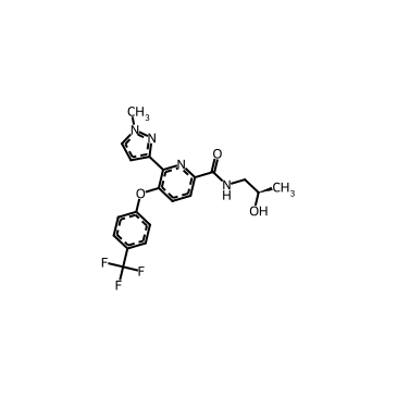 C[C@@H](O)CNC(=O)c1ccc(Oc2ccc(C(F)(F)F)cc2)c(-c2ccn(C)n2)n1